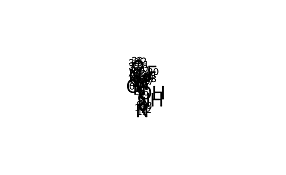 O=C1N(CC(O)CNc2ccncc2)CN(c2ccc(F)cc2)C12CCN(CC1CCCCCCC1)CC2